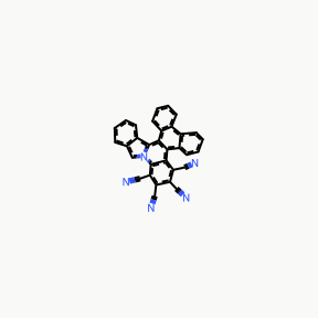 N#Cc1c(C#N)c(C#N)c2c(c1C#N)c1c3ccccc3c3ccccc3c1c1c3ccccc3cn21